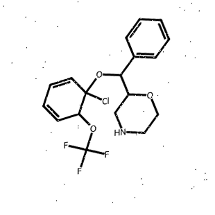 FC(F)(F)OC1C=CC=CC1(Cl)OC(c1ccccc1)C1CNCCO1